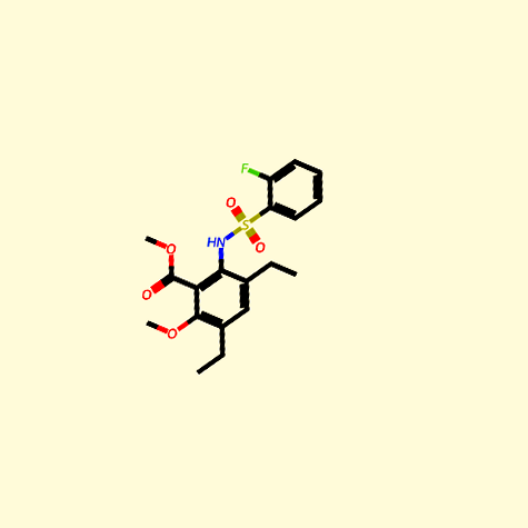 CCc1cc(CC)c(OC)c(C(=O)OC)c1NS(=O)(=O)c1ccccc1F